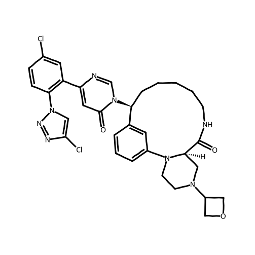 O=C1NCCCCC[C@H](n2cnc(-c3cc(Cl)ccc3-n3cc(Cl)nn3)cc2=O)c2cccc(c2)N2CCN(C3COC3)C[C@H]12